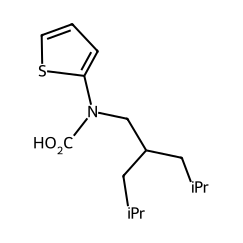 CC(C)CC(CC(C)C)CN(C(=O)O)c1cccs1